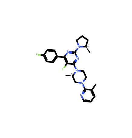 Cc1cccnc1N1CCN(c2nc(N3CCC[C@H]3C)nc(-c3ccc(F)cc3)c2F)[C@H](C)C1